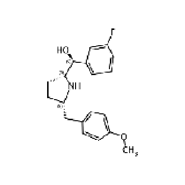 COc1ccc(C[C@@H]2CC[C@H]([C@@H](O)c3cccc(F)c3)N2)cc1